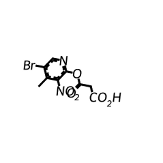 Cc1c(Br)cnc(OC(=O)CC(=O)O)c1[N+](=O)[O-]